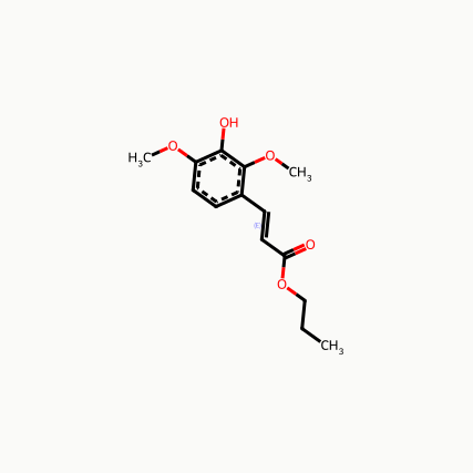 CCCOC(=O)/C=C/c1ccc(OC)c(O)c1OC